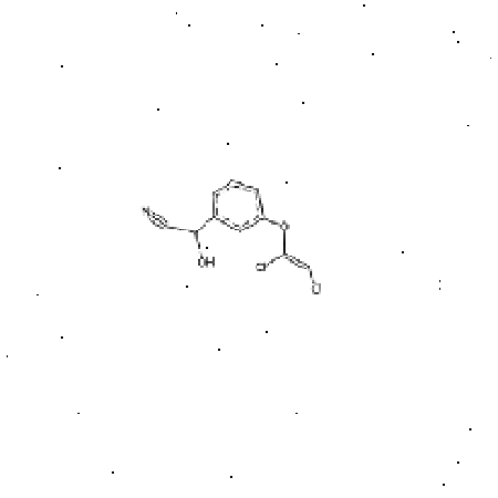 N#CC(O)c1cccc(O/C(Cl)=C/Cl)c1